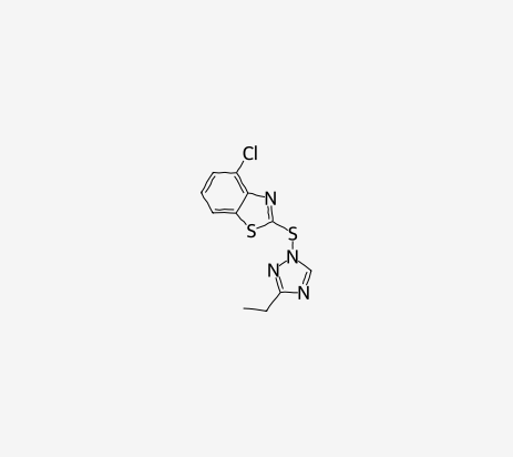 CCc1ncn(Sc2nc3c(Cl)cccc3s2)n1